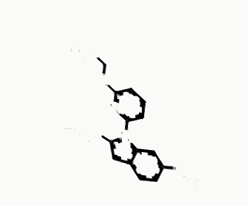 CCOC(=O)CSc1cccc(-n2c(C(=O)O)cc3ccc(OC(F)(F)F)cc32)n1